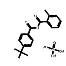 Cc1ccccc1C(=O)OC(=O)c1ccc(C(C)(C)C)cc1.O=P(O)(O)O